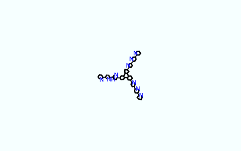 C1=C(c2ccc(-c3ccc4c(c3)c3ccc(-c5ccc(-c6ccc(-c7ccccn7)cn6)cn5)cc3c3ccc(-c5ccc(-c6ccc(-c7ccccn7)cn6)cn5)cc43)nc2)NCC(c2ccccn2)=C1